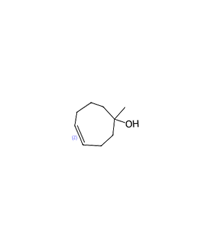 CC1(O)CC/C=C\CCC1